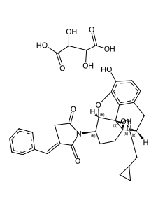 O=C(O)C(O)C(O)C(=O)O.O=C1CC(=Cc2ccccc2)C(=O)N1[C@@H]1CC[C@@]2(O)[C@H]3Cc4ccc(O)c5c4[C@@]2(CCN3CC2CC2)[C@H]1O5